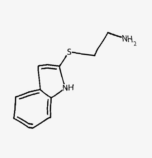 NCCSc1cc2ccccc2[nH]1